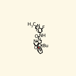 Cc1cn2cc(NC(=O)N3CCc4c(N5CC6CCC(C5)N6C(=O)OC(C)(C)C)ccnc43)cc(F)c2n1